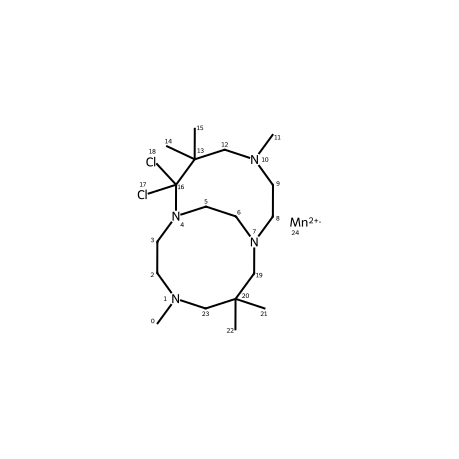 CN1CCN2CCN(CCN(C)CC(C)(C)C2(Cl)Cl)CC(C)(C)C1.[Mn+2]